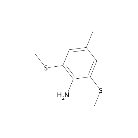 CSc1cc(C)cc(SC)c1N